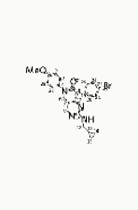 COc1ccc(-n2cc3cnc(NCC4CC4)nc3c(-c3ccc(Br)cc3)c2=O)cc1